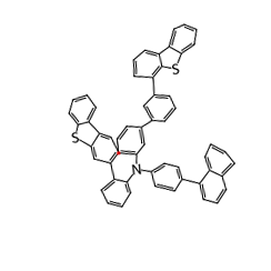 c1cc(-c2cccc(N(c3ccc(-c4cccc5ccccc45)cc3)c3ccccc3-c3ccc4c(c3)sc3ccccc34)c2)cc(-c2cccc3c2sc2ccccc23)c1